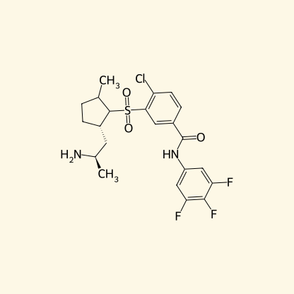 CC1CC[C@@H](C[C@@H](C)N)C1S(=O)(=O)c1cc(C(=O)Nc2cc(F)c(F)c(F)c2)ccc1Cl